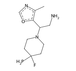 Cc1ncoc1C(CN)N1CCC(F)(P)CC1